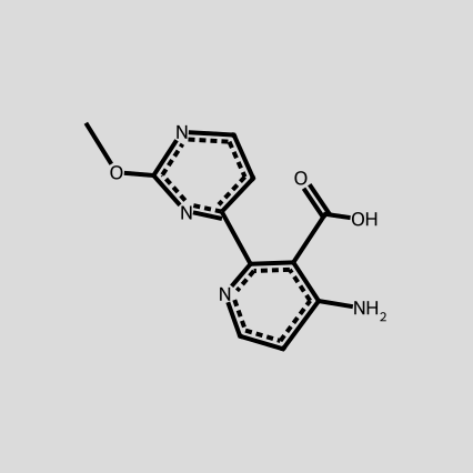 COc1nccc(-c2nccc(N)c2C(=O)O)n1